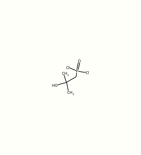 CC(C)(O)CP(=O)(Cl)Cl